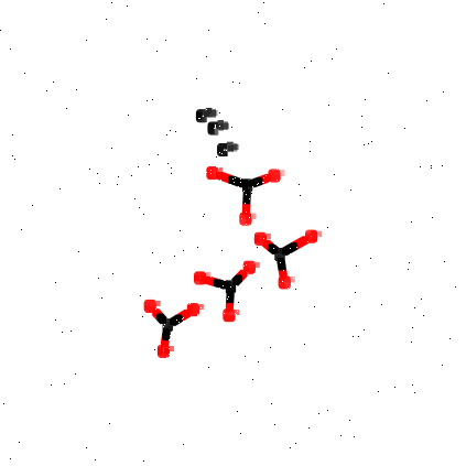 [C+4].[C+4].[C+4].[O-]B([O-])[O-].[O-]B([O-])[O-].[O-]B([O-])[O-].[O-]B([O-])[O-]